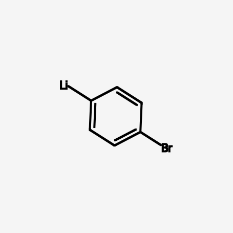 [Li][c]1ccc(Br)cc1